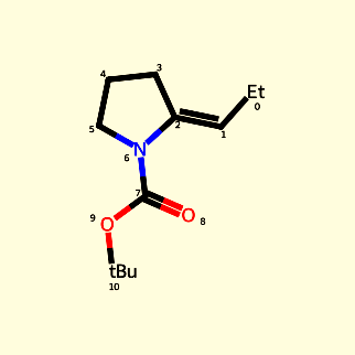 CC/C=C1\CCCN1C(=O)OC(C)(C)C